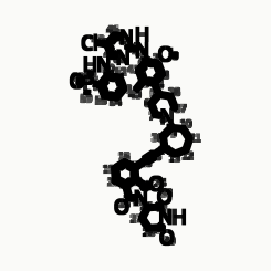 COc1cc(C2CCN(C3CCCCC(C#Cc4cccc5c4C(=O)N(C4CCC(=O)NC4=O)C5=O)C3)CC2)c(C)cc1Nc1ncc(Cl)c(Nc2ccccc2P(C)(C)=O)n1